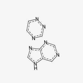 c1cnncn1.c1ncc2[nH]cnc2n1